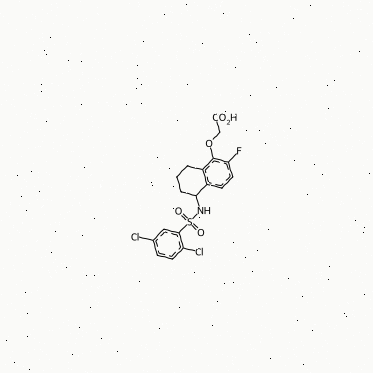 O=C(O)COc1c(F)ccc2c1CCCC2NS(=O)(=O)c1cc(Cl)ccc1Cl